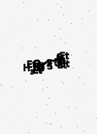 CCO[Si](C)(CCCS(=S)CCC[Si](OCC)(OCC)OCC)OCC